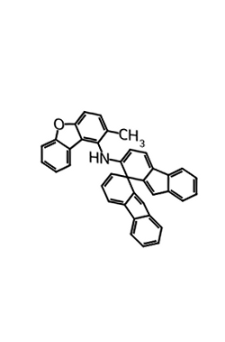 Cc1ccc2oc3ccccc3c2c1NC1=CC=C2C(=Cc3ccccc32)C12C=CC=C1C2=Cc2ccccc21